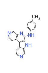 Cc1ccc(Nc2nc3cnccc3c3c2[nH]c2cnccc23)cc1